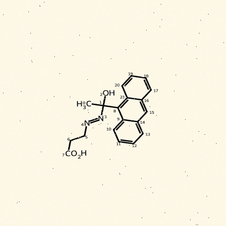 CC(O)(N=NCCC(=O)O)c1c2ccccc2cc2ccccc12